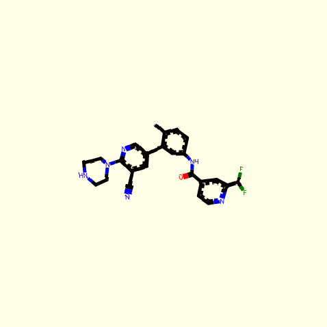 Cc1ccc(NC(=O)c2ccnc(C(F)F)c2)cc1-c1cnc(N2CCNCC2)c(C#N)c1